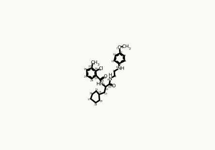 COc1ccc(NCCNC(=O)C(CC2CCCCC2)NC(=O)c2cccc(C)c2Cl)cc1